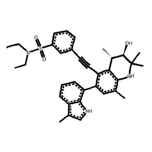 CCN(CC)S(=O)(=O)c1cccc(C#Cc2c(-c3cccc4c(C)c[nH]c34)cc(C)c3c2[C@H](C)[C@@H](O)C(C)(C)N3)c1